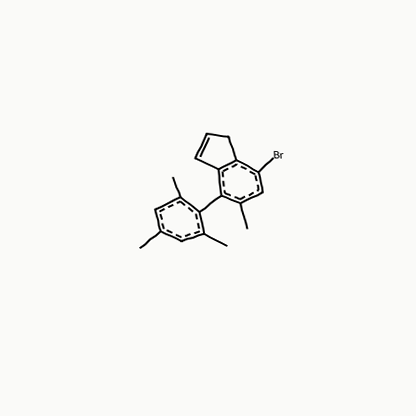 Cc1cc(C)c(-c2c(C)cc(Br)c3c2C=CC3)c(C)c1